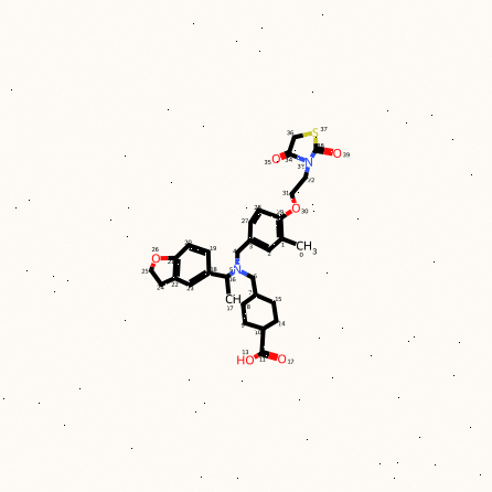 Cc1cc(CN(CC2CCC(C(=O)O)CC2)C(C)c2ccc3c(c2)CCO3)ccc1OCCN1C(=O)CSC1=O